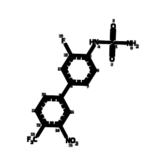 NS(=O)(=O)Nc1ccc(-c2ccc(C(F)(F)F)c([N+](=O)[O-])c2)cc1F